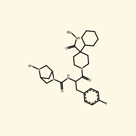 CC(C)N1CC2CC1CN2C(=O)NC(Cc1ccc(F)cc1)C(=O)N1CCC(C(=O)NC(C)(C)C)(C2CCCCC2)CC1